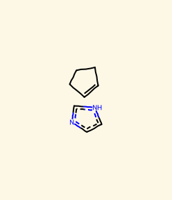 C1=CCCC1.c1c[nH]cn1